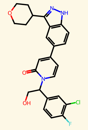 O=c1cc(-c2ccc3[nH]nc(C4CCOCC4)c3c2)ccn1C(CO)c1ccc(F)c(Cl)c1